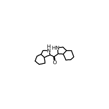 O=C(C1NCC2CCCCC21)C1NCC2CCCCC21